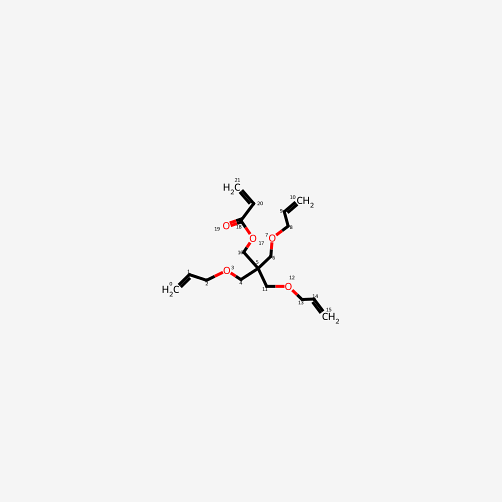 C=CCOCC(COCC=C)(COCC=C)COC(=O)C=C